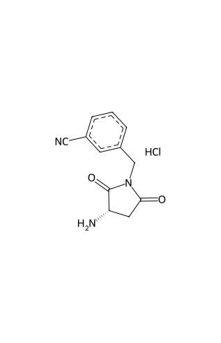 Cl.N#Cc1cccc(CN2C(=O)C[C@H](N)C2=O)c1